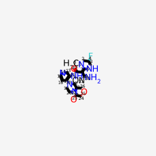 CN1CC(F)CNC1C(C(=O)Nc1cnccc1N1CCN2C(=O)COCC2C1)C(N)N=O